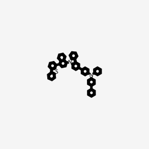 c1ccc(-c2ccc(N(c3ccccc3)c3ccc(-c4ccc5c(c4)c4ccccc4n5-c4ccc(-c5cccc6c5sc5ccccc56)c5ccccc45)cc3)cc2)cc1